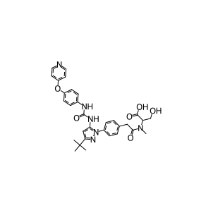 CN(C(=O)Cc1ccc(-n2nc(C(C)(C)C)cc2NC(=O)Nc2ccc(Oc3ccncc3)cc2)cc1)C(CO)C(=O)O